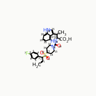 C=CC(c1ccc(F)cc1)S(=O)(=O)C1CCN(C(=O)NC(C(=O)O)C(C)c2c[nH]c3ccccc23)CC1